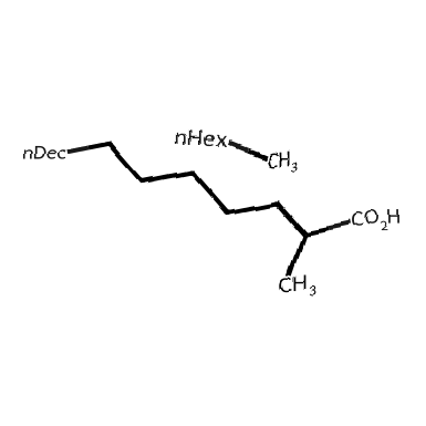 CCCCCCC.CCCCCCCCCCCCCCCC(C)C(=O)O